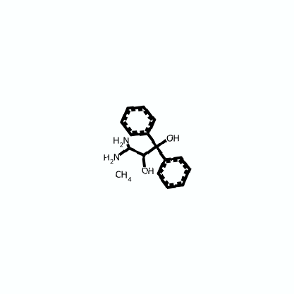 C.NC(N)C(O)C(O)(c1ccccc1)c1ccccc1